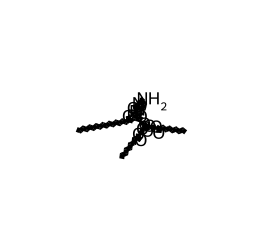 CCCCCCCCCCCCCCCCC(=O)C[C@@H]1[C@@H](COP(=O)(OCOC(=O)CCCCCCCC)OCOC(=O)CCCCCCCC)O[C@@H](n2ccc(N)nc2=O)C1(F)F